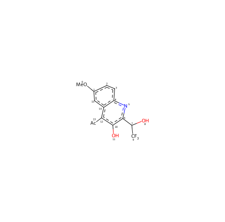 COc1ccc2nc(C(O)C(F)(F)F)c(O)c(C(C)=O)c2c1